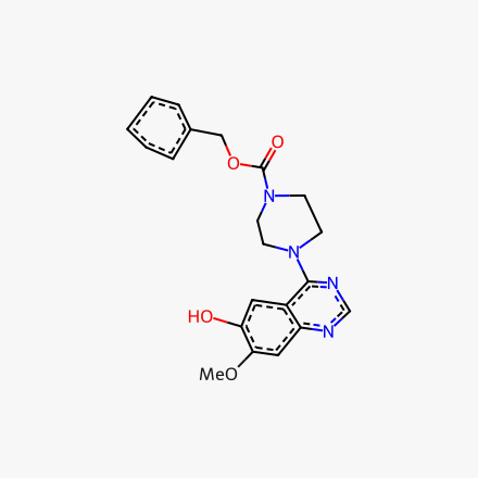 COc1cc2ncnc(N3CCN(C(=O)OCc4ccccc4)CC3)c2cc1O